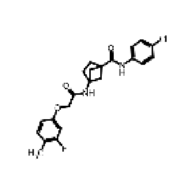 Cc1ccc(OCC(=O)NC23CCC(C(=O)Nc4ccc(Cl)cc4)(C2)C3)cc1F